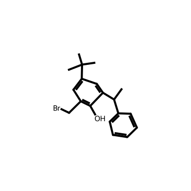 CC(c1ccccc1)c1cc(C(C)(C)C)cc(CBr)c1O